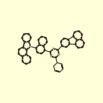 C1=CCC(c2nc(-c3ccc4c(c3)-c3cccc5cccc-4c35)nc(-c3ccc(-n4c5ccccc5c5ccc6ccccc6c54)c4ccccc34)n2)C=C1